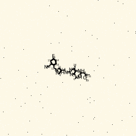 CNc1nc(NCc2cnn(Cc3ccc(F)cc3C#N)c2)nc(C)c1NC(=O)C[C@@H](C)OC